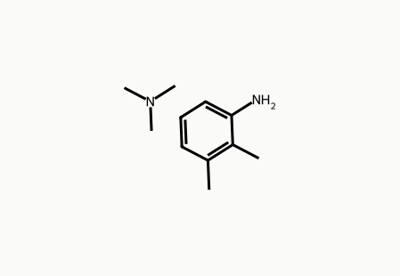 CN(C)C.Cc1cccc(N)c1C